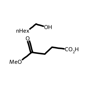 CCCCCCCO.COC(=O)CCC(=O)O